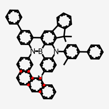 Cc1cc(-c2ccccc2)ccc1N1c2ccc(N(c3ccccc3)c3ccccc3)cc2B2c3c(cc4c(c31)C(C)(C)c1ccccc1-4)-c1cc(-c3ccccc3)ccc1N2c1cccc(-c2ccccc2)c1